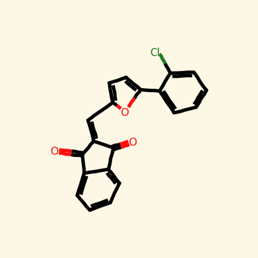 O=C1C(=Cc2ccc(-c3ccccc3Cl)o2)C(=O)c2ccccc21